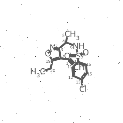 C#Cc1c(C(C)NS(=O)(=O)c2ccc(Cl)cc2)noc1CC